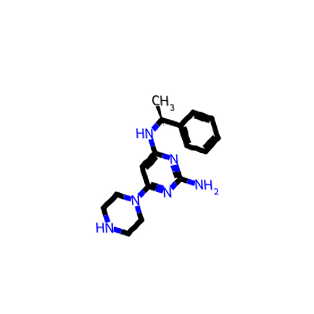 C[C@H](Nc1cc(N2CCNCC2)nc(N)n1)c1ccccc1